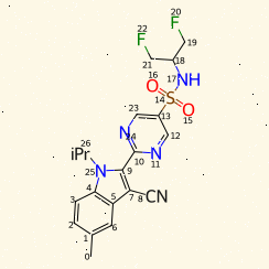 Cc1ccc2c(c1)c(C#N)c(-c1ncc(S(=O)(=O)NC(CF)CF)cn1)n2C(C)C